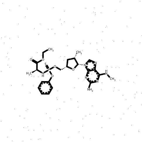 CCOC(=O)[C@H](C)NP(=S)(OC[C@@H]1C[C@H](C)[C@H](n2cnc3c(NC)nc(N)nc32)O1)Oc1ccccc1